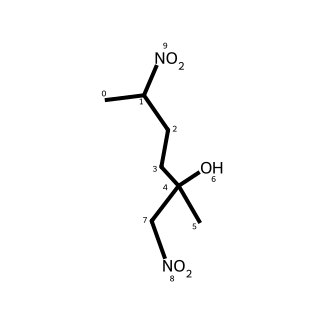 CC(CCC(C)(O)C[N+](=O)[O-])[N+](=O)[O-]